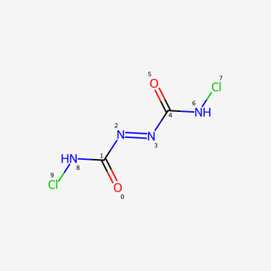 O=C(N=NC(=O)NCl)NCl